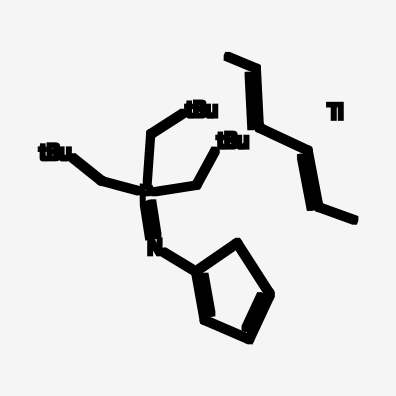 CC(C)(C)CP(CC(C)(C)C)(CC(C)(C)C)=NC1=CC=CC1.CC=CC=CC.[Ti]